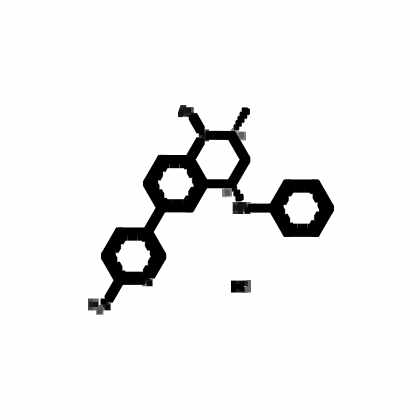 CC(=O)N1c2ccc(-c3ccc(N)nc3)cc2[C@@H](Nc2ccccc2)C[C@H]1C.Cl